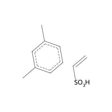 C=CS(=O)(=O)O.Cc1cccc(C)c1